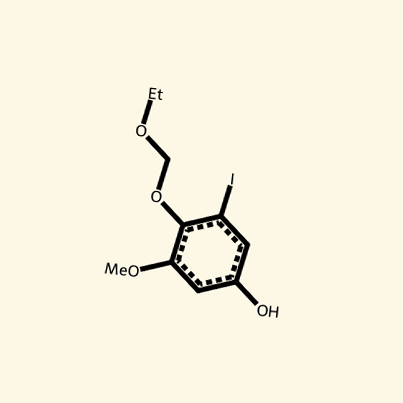 CCOCOc1c(I)cc(O)cc1OC